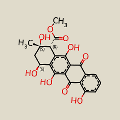 COC(=O)[C@@H]1c2c(O)c3c(c(O)c2[C@@H](O)C[C@]1(C)O)C(=O)c1c(O)cccc1C3=O